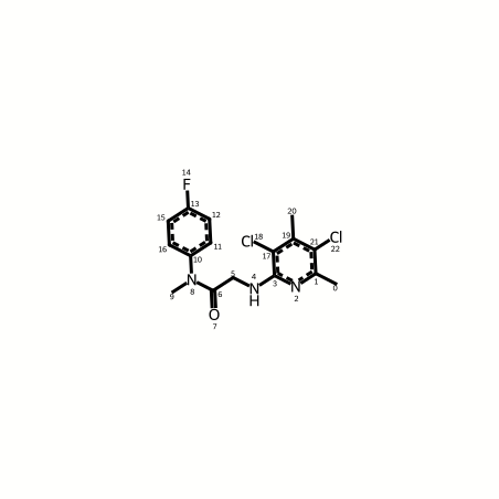 Cc1nc(NCC(=O)N(C)c2ccc(F)cc2)c(Cl)c(C)c1Cl